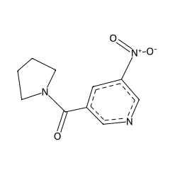 O=C(c1cncc([N+](=O)[O-])c1)N1CCCC1